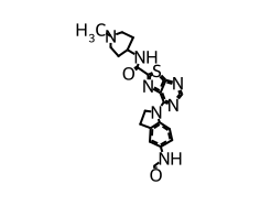 CN1CCC(NC(=O)c2nc3c(N4CCc5cc(NC=O)ccc54)ncnc3s2)CC1